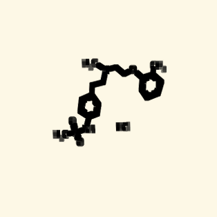 Cc1ccccc1OCCN(C)CCc1ccc(NS(C)(=O)=O)cc1.Cl